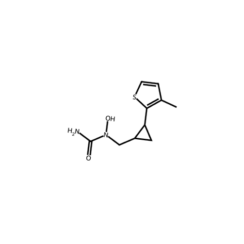 Cc1ccsc1C1CC1CN(O)C(N)=O